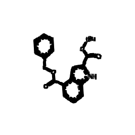 CC(C)(C)OC(=O)c1cc2c(C(=O)OCc3ccccc3)cccc2[nH]1